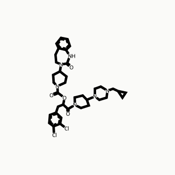 O=C(OC(Cc1ccc(Cl)c(Cl)c1)C(=O)N1CCC(N2CCN(CC3CC3)CC2)CC1)N1CCC(N2CCc3ccccc3NC2=O)CC1